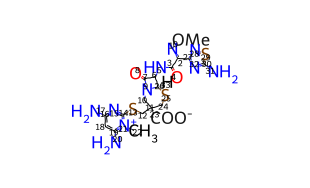 CON=C(C(=O)NC1C(=O)N2CC(CSc3nc(N)cc(N)[n+]3C)(C(=O)[O-])CS[C@H]12)c1nsc(N)n1